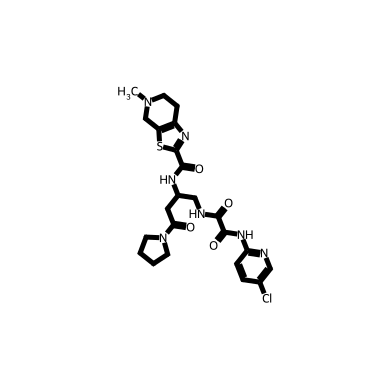 CN1CCc2nc(C(=O)NC(CNC(=O)C(=O)Nc3ccc(Cl)cn3)CC(=O)N3CCCC3)sc2C1